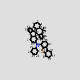 CC1(C)c2ccccc2C2(c3ccccc3-c3ccc(N(c4ccccc4)c4cccc5c4sc4ccccc45)cc32)c2ccccc21